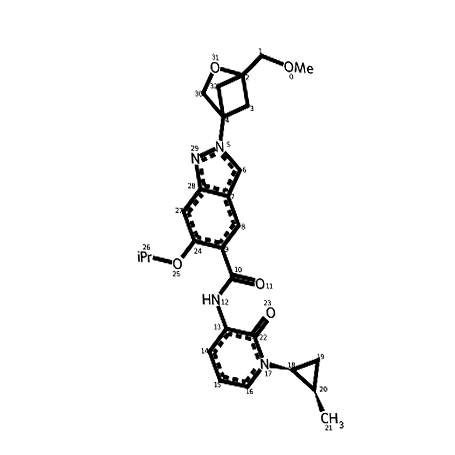 COCC12CC(n3cc4cc(C(=O)Nc5cccn([C@H]6C[C@H]6C)c5=O)c(OC(C)C)cc4n3)(CO1)C2